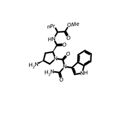 CCCC(NC(=O)[C@@H]1C[C@H](N)CN1C(=O)N(C(N)=O)c1c[nH]c2ccccc12)C(=O)OC